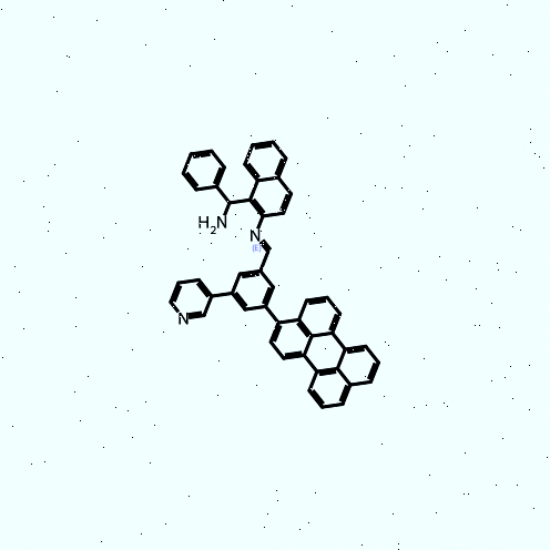 NC(c1ccccc1)c1c(/N=C/c2cc(-c3cccnc3)cc(-c3ccc4c5cccc6cccc(c7cccc3c74)c65)c2)ccc2ccccc12